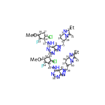 CCc1nc2ccc(Cn3cc4c(NCc5c(Cl)ccc(OC)c5F)ncnc4n3)cn2c1C.CCc1nc2ccc(Cn3cc4c(NCc5c(Cl)ccc(OC)c5F)ncnc4n3)cn2c1C